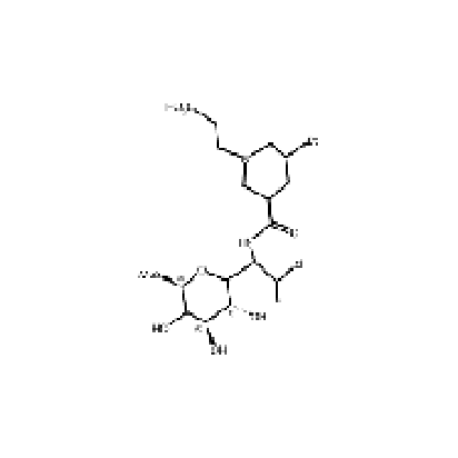 CCC1CC(C(=O)NC(C(C)Cl)C2O[C@H](SC)C(O)[C@H](O)[C@H]2O)CN(CCC(=O)O)C1